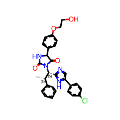 C[C@@H](c1ccccc1)[C@@H](c1ncc(-c2ccc(Cl)cc2)[nH]1)N1C(=O)NC(c2ccc(OCCO)cc2)C1=O